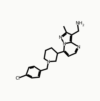 Cc1nn2c(C3CCCN(Cc4ccc(Cl)cc4)C3)ccnc2c1CN